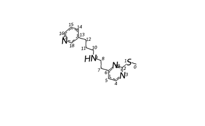 CSc1nccc(CCNCCCc2cccnc2)n1